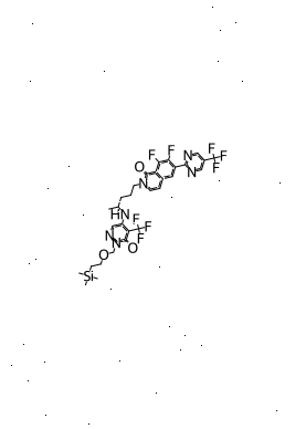 CC(CCCn1ccc2cc(-c3ncc(C(F)(F)F)cn3)c(F)c(F)c2c1=O)Nc1cnn(COCC[Si](C)(C)C)c(=O)c1C(F)(F)F